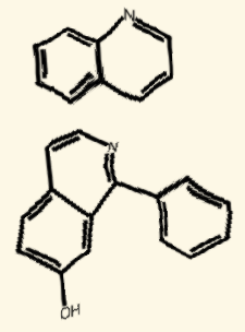 Oc1ccc2ccnc(-c3ccccc3)c2c1.c1ccc2ncccc2c1